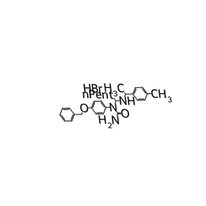 Br.CCCCCC(NC(C)c1ccc(C)cc1)N(C(N)=O)c1ccc(OCc2ccccc2)cc1